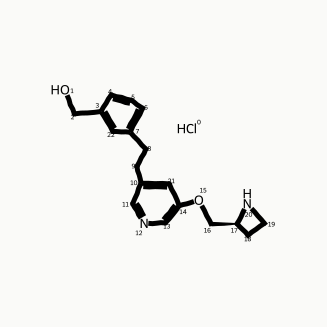 Cl.OCc1cccc(CCc2cncc(OC[C@@H]3CCN3)c2)c1